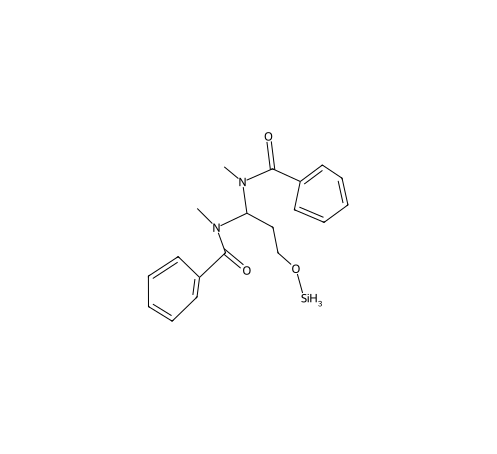 CN(C(=O)c1ccccc1)C(CCO[SiH3])N(C)C(=O)c1ccccc1